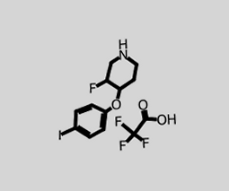 FC1CNCCC1Oc1ccc(I)cc1.O=C(O)C(F)(F)F